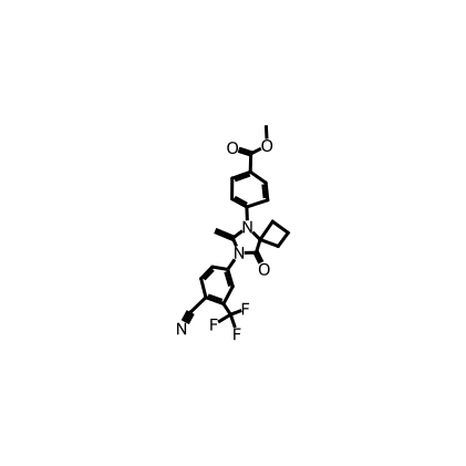 C=C1N(c2ccc(C#N)c(C(F)(F)F)c2)C(=O)C2(CCC2)N1c1ccc(C(=O)OC)cc1